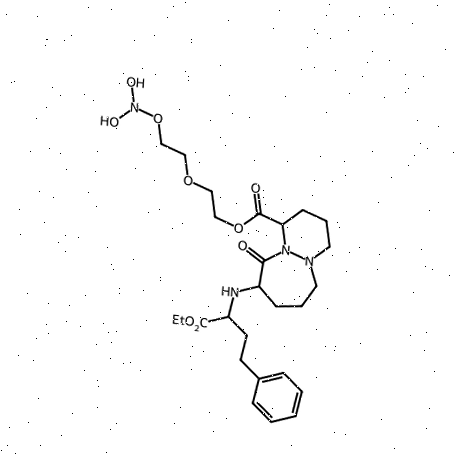 CCOC(=O)C(CCc1ccccc1)NC1CCCN2CCCC(C(=O)OCCOCCON(O)O)N2C1=O